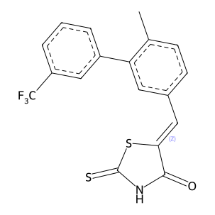 Cc1ccc(/C=C2\SC(=S)NC2=O)cc1-c1cccc(C(F)(F)F)c1